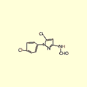 O=CNc1cc(Cl)n(-c2ccc(Cl)cc2)n1